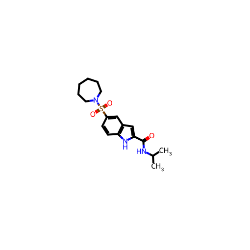 CC(C)NC(=O)c1cc2cc(S(=O)(=O)N3CCCCCC3)ccc2[nH]1